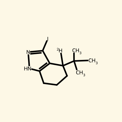 [2H]C1(C(C)(C)C)CCCc2[nH]nc(I)c21